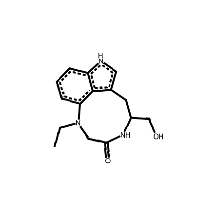 CCN1CC(=O)NC(CO)Cc2c[nH]c3cccc1c23